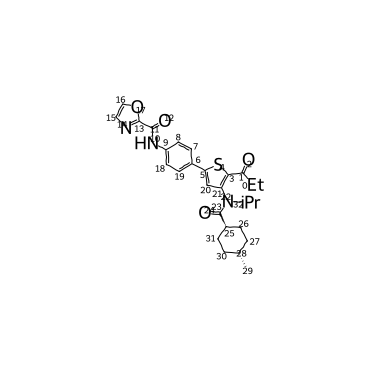 CCC(=O)c1sc(-c2ccc(NC(=O)c3ncco3)cc2)cc1N(C(=O)[C@H]1CC[C@H](C)CC1)C(C)C